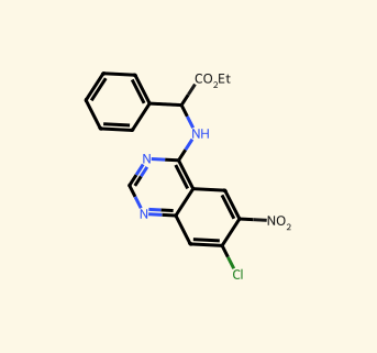 CCOC(=O)C(Nc1ncnc2cc(Cl)c([N+](=O)[O-])cc12)c1ccccc1